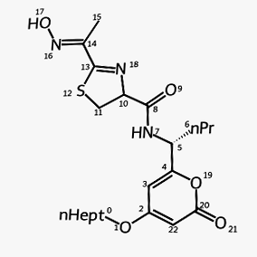 CCCCCCCOc1cc([C@@H](CCC)NC(=O)C2CSC(/C(C)=N/O)=N2)oc(=O)c1